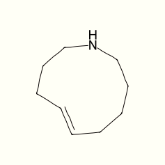 C1=C/CCCNCCCC/1